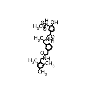 Cc1cc(C)c(CNC(=O)Cc2cccc(C[C@@H](C)NC[C@H](O)c3ccc(O)c(NS(C)(=O)=O)c3)c2)c(C)c1